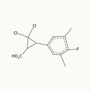 Cc1cc(C2C(C(=O)O)C2(Cl)Cl)cc(C)c1F